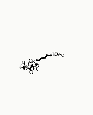 CCCCCCCCCCCCCCCCS(=O)(=O)C(C)(CC)C([NH])=O